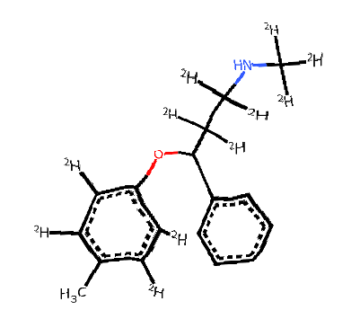 [2H]c1c([2H])c(OC(c2ccccc2)C([2H])([2H])C([2H])([2H])NC([2H])([2H])[2H])c([2H])c([2H])c1C